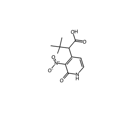 CC(C)(C)C(C(=O)O)c1cc[nH]c(=O)c1[N+](=O)[O-]